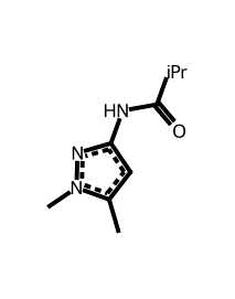 Cc1cc(NC(=O)C(C)C)nn1C